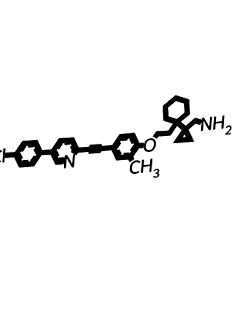 Cc1cc(C#Cc2ccc(-c3ccc(Cl)cc3)cn2)ccc1OCCC1(C2(CN)CC2)CCCCC1